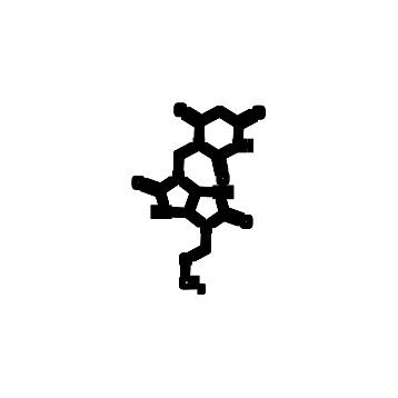 COCN1C(=O)NC2C1NC(=O)N2CN1C(=O)CC(=O)NC1=O